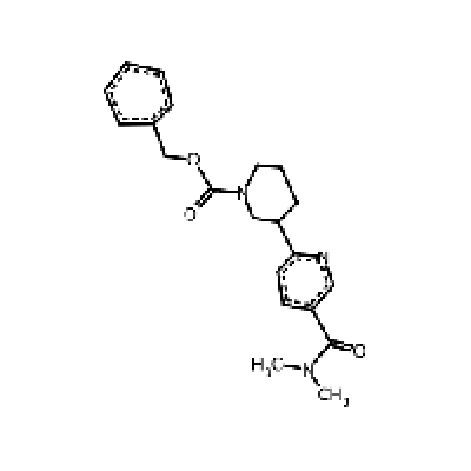 CN(C)C(=O)c1ccc(C2CCCN(C(=O)OCc3ccccc3)C2)nc1